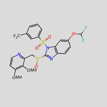 COc1ccnc(C[S+]([O-])c2nc3ccc(OC(F)F)cc3n2S(=O)(=O)c2cccc(C(F)(F)F)c2)c1OC